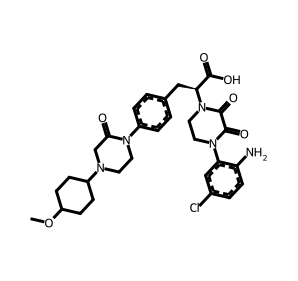 COC1CCC(N2CCN(c3ccc(C[C@@H](C(=O)O)N4CCN(c5cc(Cl)ccc5N)C(=O)C4=O)cc3)C(=O)C2)CC1